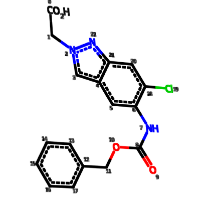 O=C(O)Cn1cc2cc(NC(=O)OCc3ccccc3)c(Cl)cc2n1